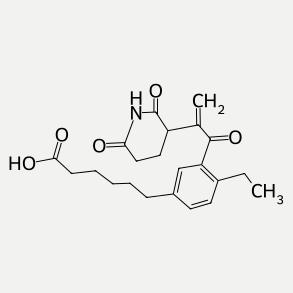 C=C(C(=O)c1cc(CCCCCC(=O)O)ccc1CC)C1CCC(=O)NC1=O